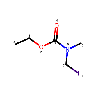 CCOC(=O)N(C)CI